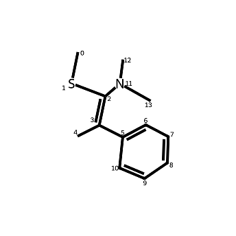 CS/C(=C(\C)c1ccccc1)N(C)C